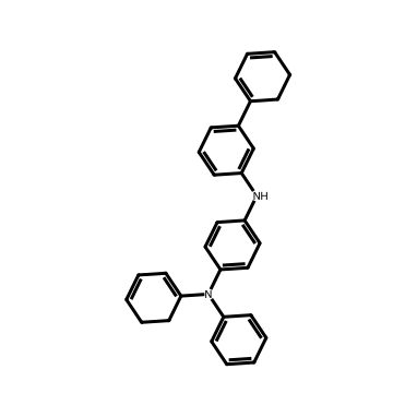 C1=CCCC(c2cccc(Nc3ccc(N(C4=CC=CCC4)c4ccccc4)cc3)c2)=C1